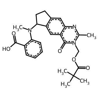 Cc1nc2cc3c(cc2c(=O)n1COC(=O)C(C)(C)C)C(N(C)c1ccccc1C(=O)O)CC3